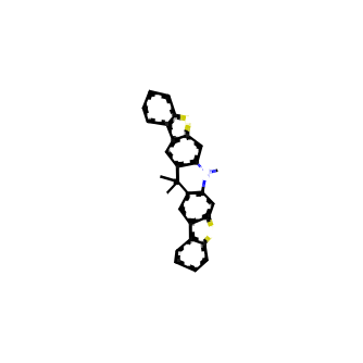 CN1c2cc3sc4ccccc4c3cc2C(C)(C)c2cc3c(cc21)sc1ccccc13